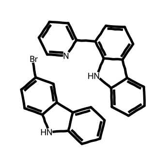 Brc1ccc2[nH]c3ccccc3c2c1.c1ccc(-c2cccc3c2[nH]c2ccccc23)nc1